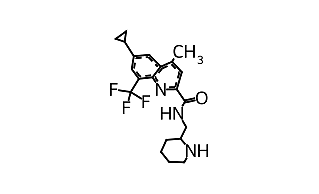 Cc1cc(C(=O)NCC2CCCCN2)nc2c(C(F)(F)F)cc(C3CC3)cc12